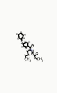 CCCC/C(=N\OC(=O)CC)C(=O)c1ccc(Sc2ccccc2)cc1